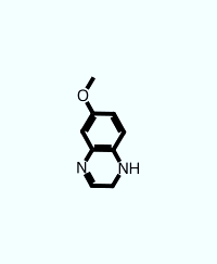 COc1ccc2c(c1)N=CCN2